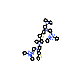 c1ccc(-c2nc(-c3ccccc3)nc(-c3cccc(-n4c5cc(-n6c7ccccc7c7ccccc76)ccc5c5cc6c(cc54)sc4c(-c5cccc7c5c5ccccc5n7-c5ccc7c8cc9sc%10ccccc%10c9cc8n(-c8cccc(-c9nc(-c%10ccccc%10)nc(-c%10ccccc%10)n9)c8)c7c5)cccc46)c3)n2)cc1